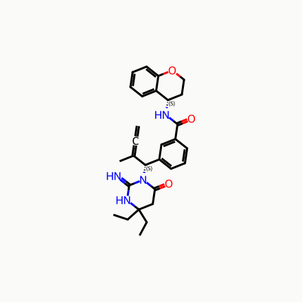 C=C=C(C)[C@H](c1cccc(C(=O)N[C@H]2CCOc3ccccc32)c1)N1C(=N)NC(CC)(CC)CC1=O